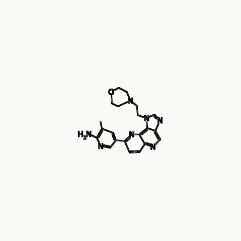 Cc1cc(-c2ccc3ncc4ncn(CCN5CCOCC5)c4c3n2)cnc1N